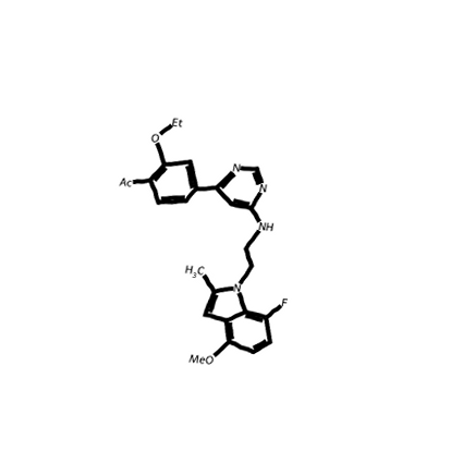 CCOc1cc(-c2cc(NCCn3c(C)cc4c(OC)ccc(F)c43)ncn2)ccc1C(C)=O